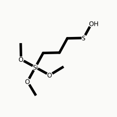 CO[Si](CCCSO)(OC)OC